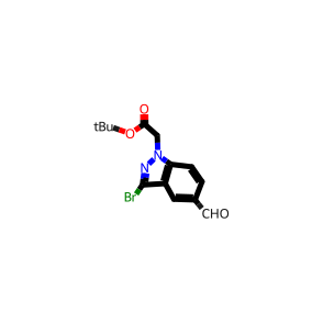 CC(C)(C)OC(=O)Cn1nc(Br)c2cc(C=O)ccc21